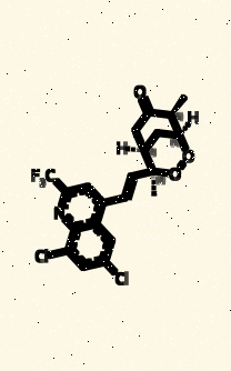 C[C@@H]1C(=O)C[C@H]2C[C@@H]1OO[C@@]2(C)C=Cc1cc(C(F)(F)F)nc2c(Cl)cc(Cl)cc12